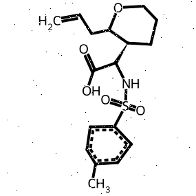 C=CCC1OCCC[C@H]1C(NS(=O)(=O)c1ccc(C)cc1)C(=O)O